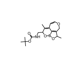 CC1=C2C=COCC3=C2B(OC3C)OC1CNC(=O)OC(C)(C)C